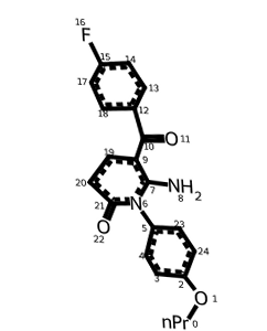 [CH2]CCOc1ccc(-n2c(N)c(C(=O)c3ccc(F)cc3)ccc2=O)cc1